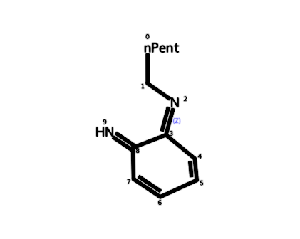 CCCCCC/N=C1/C=CC=CC1=N